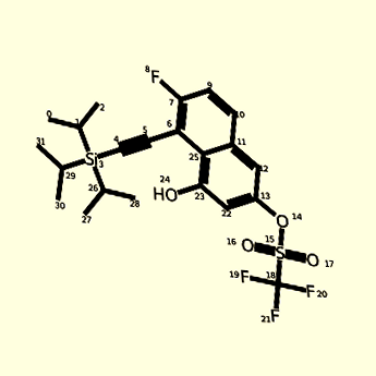 CC(C)[Si](C#Cc1c(F)ccc2cc(OS(=O)(=O)C(F)(F)F)cc(O)c12)(C(C)C)C(C)C